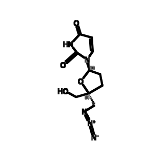 [N-]=[N+]=NC[C@@]1(CO)CC[C@H](n2ccc(=O)[nH]c2=O)O1